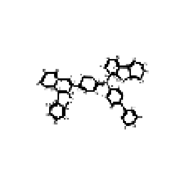 c1ccc(-c2ccc(N(c3ccc(-c4cc5ccccc5c5c4oc4ccccc45)cc3)c3cccc4c3sc3ccccc34)cc2)cc1